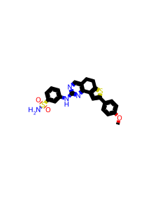 COc1ccc(-c2cc3c(s2)CCc2cnc(Nc4cccc(S(N)(=O)=O)c4)nc2-3)cc1